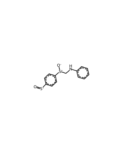 O=[S+]c1ccc([S+]([O-])CNc2ccccc2)cc1